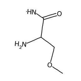 COCC(N)C([NH])=O